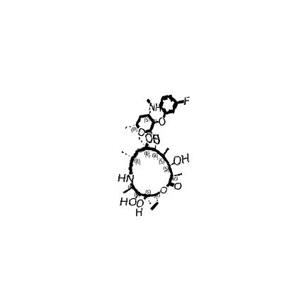 CC[C@H]1OC(=O)[C@H](C)[C@@H](O)[C@H](C)[C@@H](O[C@@H]2O[C@H](C)C[C@H](NC)[C@H]2Oc2cccc(F)c2)[C@](C)(O)C[C@@H](C)CN[C@H](C)[C@@H](O)[C@]1(C)O